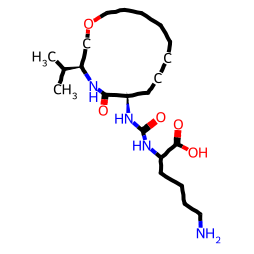 CC(C)[C@H]1COCCCCCCCC[C@@H](NC(=O)NC(CCCCN)C(=O)O)C(=O)N1